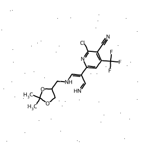 CC1(C)OCC(CN/C=C(\C=N)c2cc(C(F)(F)F)c(C#N)c(Cl)n2)O1